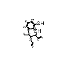 C=CCC(CC=C)C(C)c1cccc(O)c1O